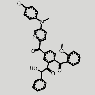 COc1ccccc1C(=O)c1ccc(C(=O)c2ccc(N(C)c3ccc(Cl)cc3)cn2)cc1C(=O)C(O)c1ccccc1